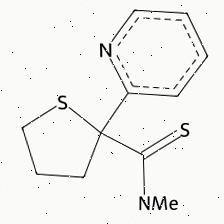 CNC(=S)C1(c2ccccn2)CCCS1